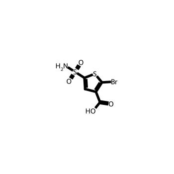 NS(=O)(=O)c1cc(C(=O)O)c(Br)s1